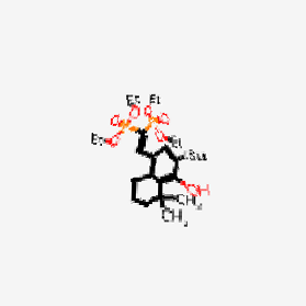 CCOP(=O)(OCC)C(=Cc1cc(C(C)(C)C)c(O)c2c1CCCC2(C)C)P(=O)(OCC)OCC